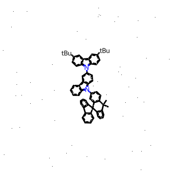 CC(C)(C)c1ccc2c(c1)c1cc(C(C)(C)C)ccc1n2-c1ccc2c(c1)c1ccccc1n2-c1ccc2c(c1)C1(c3ccccc3-c3ccccc31)c1ccccc1C2(C)C